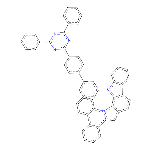 c1ccc(-c2nc(-c3ccccc3)nc(-c3ccc(-c4cccc(-n5c6ccccc6c6ccc7cc8c9ccccc9c9ccccc9n8c7c65)c4)cc3)n2)cc1